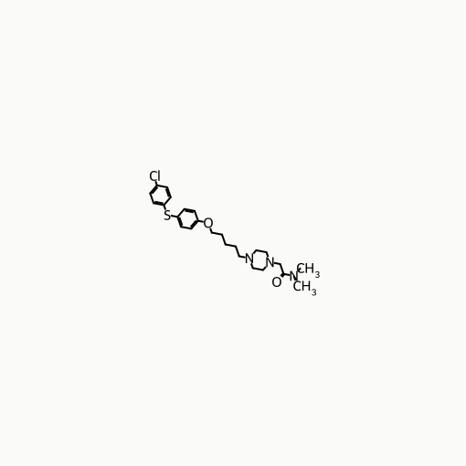 CN(C)C(=O)CN1CCN(CCCCCOc2ccc(Sc3ccc(Cl)cc3)cc2)CC1